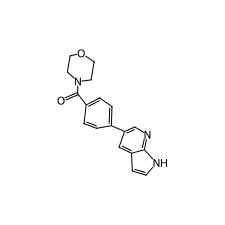 O=C(c1ccc(-c2cnc3[nH]ccc3c2)cc1)N1CCOCC1